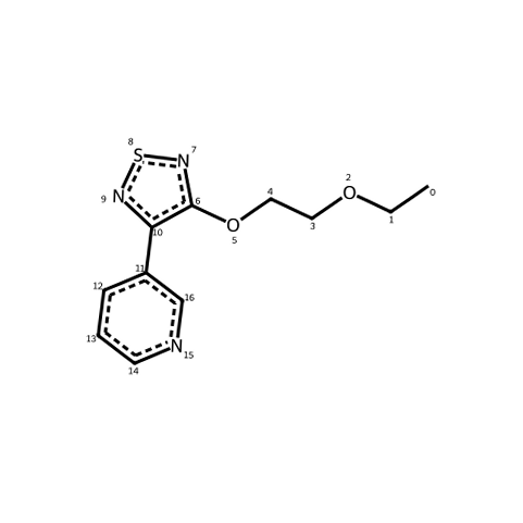 CCOCCOc1nsnc1-c1cccnc1